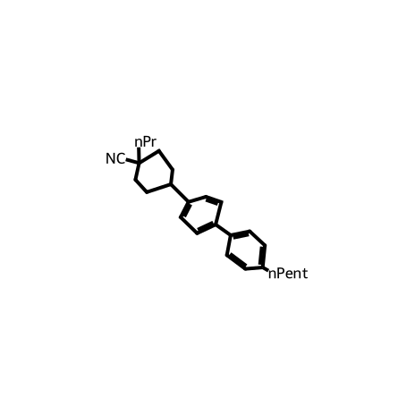 CCCCCc1ccc(-c2ccc(C3CCC(C#N)(CCC)CC3)cc2)cc1